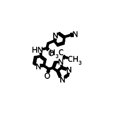 CC(C)n1cc(C(=O)c2cc(NC(=O)Cc3ccc(C#N)cn3)ccn2)c2cncnc21